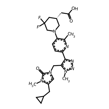 Cc1nc(-c2nnn(C)c2Cn2cc(CC3CC3)n(C)c2=O)ccc1N1C[C@@H](CC(=O)O)CC(F)(F)C1